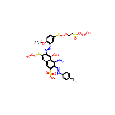 COc1ccc(SOOCCS(=O)OOO)cc1N=Nc1c(SOOO)cc2cc(S(=O)(=O)O)c(N=Nc3ccc(C)cc3)c(N)c2c1O